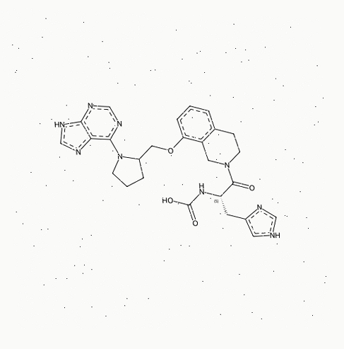 O=C(O)N[C@@H](Cc1c[nH]cn1)C(=O)N1CCc2cccc(OCC3CCCN3c3ncnc4[nH]cnc34)c2C1